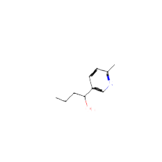 CCCC(O)c1ccc(C)nc1